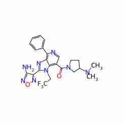 CN(C)C1CCN(C(=O)c2cnc(-c3ccccc3)c3nc(-c4nonc4N)n(CC(F)(F)F)c23)C1